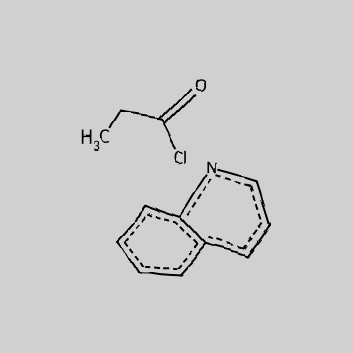 CCC(=O)Cl.c1ccc2ncccc2c1